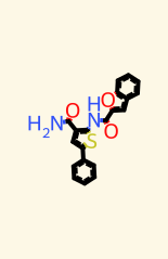 NC(=O)c1cc(-c2ccccc2)sc1NC(=O)c1cc2ccccc2o1